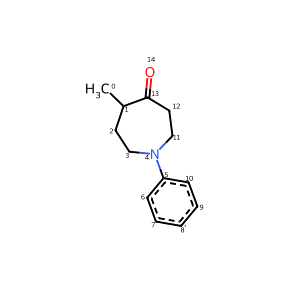 CC1CCN(c2cc[c]cc2)CCC1=O